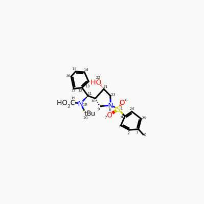 Cc1ccc(S(=O)(=O)N2C[C@H]([C@H](c3ccccc3)N(C(=O)O)C(C)(C)C)[C@H](O)C2)cc1